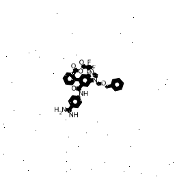 N=C(N)c1ccc(NC(=O)c2cc3c(cc2-c2ccccc2C(=O)OC(=O)C(F)(F)F)ncn3COCc2ccccc2)cc1